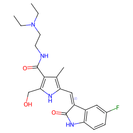 CCN(CC)CCNC(=O)c1c(CO)[nH]c(/C=C2\C(=O)Nc3ccc(F)cc32)c1C